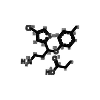 CCC(=O)O.Cc1ccc(OC(CCN)c2cc(Cl)cs2)cc1